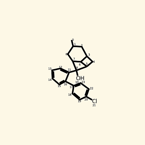 CC1CC2CC3C2C(C1)C3(O)c1ccccc1-c1ccc(Cl)cc1